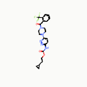 O=C(Nc1ccc(N2CCN(C(=O)c3ccccc3C(F)(F)F)CC2)nn1)OCCC1CC1